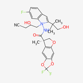 CC(C)(CO)C1=Cc2ccc(F)cc2[N+]1(C[C@@H](O)CC#N)NC(=O)[C@@]1(C)COc2cc3c(cc21)OC(F)(F)O3